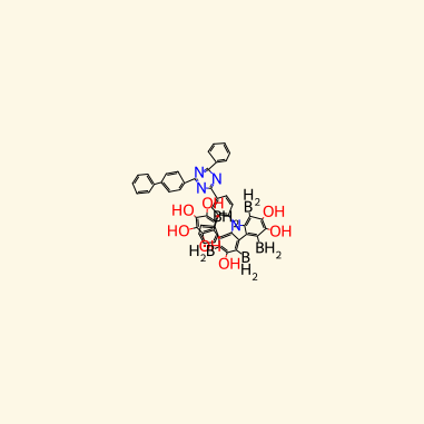 Bc1c(O)c(O)c(O)c(O)c1-c1c(B)c(O)c(B)c2c3c(B)c(O)c(O)c(B)c3n(-c3ccc(-c4nc(-c5ccccc5)nc(-c5ccc(-c6ccccc6)cc5)n4)cc3-c3ccccc3)c12